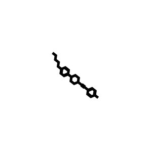 CCCCCc1ccc(C2CCC(C#Cc3ccc(C)cc3)CC2)cc1